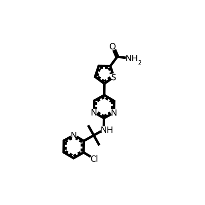 CC(C)(Nc1ncc(-c2ccc(C(N)=O)s2)cn1)c1ncccc1Cl